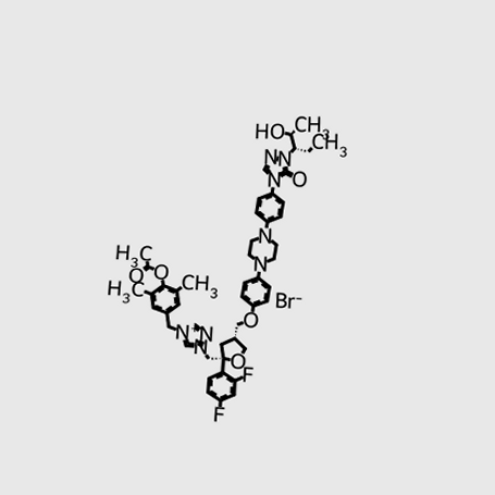 CC[C@@H]([C@H](C)O)n1ncn(-c2ccc(N3CCN(c4ccc(OC[C@@H]5CO[C@@](Cn6c[n+](Cc7cc(C)c(OC(C)=O)c(C)c7)cn6)(c6ccc(F)cc6F)C5)cc4)CC3)cc2)c1=O.[Br-]